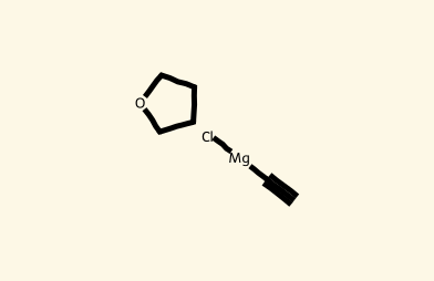 C#[C][Mg][Cl].C1CCOC1